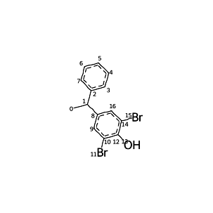 CC(c1ccccc1)c1cc(Br)c(O)c(Br)c1